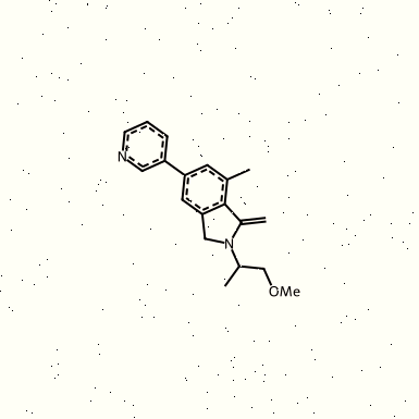 C=C1c2c(C)cc(-c3cccnc3)cc2CN1C(C)COC